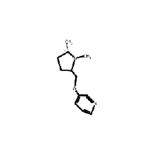 C[C@H]1CCC(COc2cccnc2)N1C